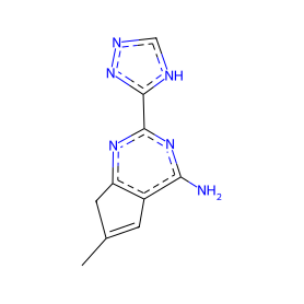 CC1=Cc2c(N)nc(-c3nnc[nH]3)nc2C1